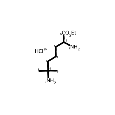 CCOC(=O)C(N)CCCC(C)(C)N.Cl